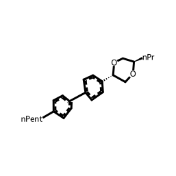 CCCCCc1ccc(-c2ccc([C@H]3CO[C@H](CCC)CO3)cc2)cc1